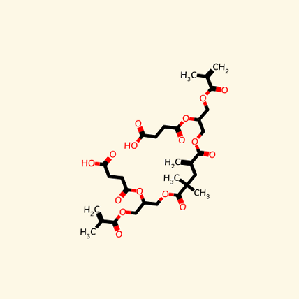 C=C(C)C(=O)OCC(COC(=O)C(=C)CC(C)(C)C(=O)OCC(COC(=O)C(=C)C)OC(=O)CCC(=O)O)OC(=O)CCC(=O)O